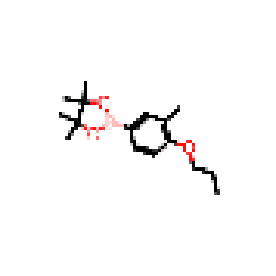 CCCOc1ccc(B2OC(C)(C)C(C)(C)O2)cc1C